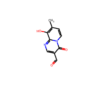 Cc1ccn2c(=O)c(C=O)cnc2c1O